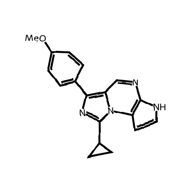 COc1ccc(-c2nc(C3CC3)n3c2cnc2[nH]ccc23)cc1